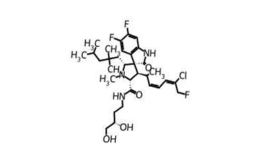 CC(C)CC(C)(C)C[C@H]1N(C)[C@@H](C(=O)NCC[C@H](O)CO)[C@H](C(C)/C=C\C=C(\Cl)CF)[C@@]12C(=O)Nc1cc(F)c(F)cc12